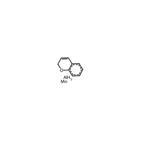 C1=Cc2ccccc2OC1.[AlH3].[Mn]